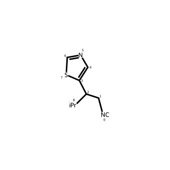 [C-]#[N+]CC(c1cncs1)C(C)C